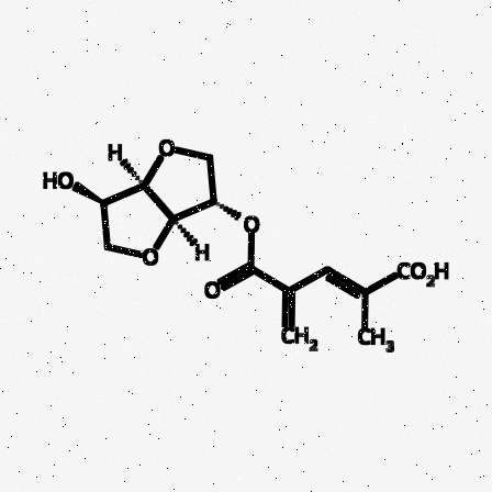 C=C(C=C(C)C(=O)O)C(=O)O[C@H]1CO[C@H]2[C@@H]1OC[C@H]2O